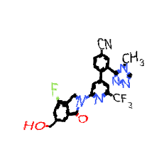 Cn1cnnc1-c1cc(C#N)ccc1-c1cc(N2Cc3c(F)cc(CO)cc3C2=O)nc(C(F)(F)F)c1